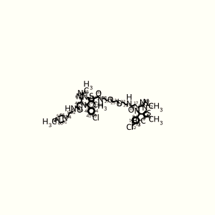 Cc1sc2c(c1C)C(c1ccc(Cl)cc1)=N[C@@H](CC(=O)NCCOCCOCCNC(=O)c1sc3c(c1C)C(c1ccc(Cl)cc1)=NC(CC(=O)NCCCN1CCN(C)CC1)c1nnc(C)n1-3)c1nnc(C)n1-2